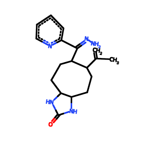 C=C(C)C1CCC2NC(=O)NC2CCC1/C(=N\N)c1ccccn1